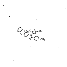 CC1CCC(C(=O)N(c2ccc(Oc3ccccn3)cc2)c2cc(C(C)(C)C)sc2C(=O)O)CC1